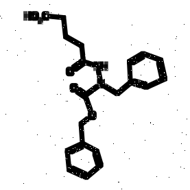 O=C(O)CCCC(=O)NN(Cc1ccccc1)C(=O)OCc1ccccc1